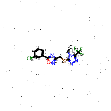 CCn1c(SCc2noc(-c3cccc(Cl)c3)n2)nnc1C(F)(F)F